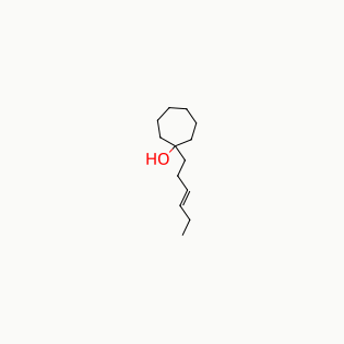 CCC=CCCC1(O)CCCCCC1